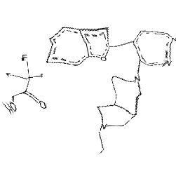 CN1CC2CN(c3nnccc3-c3cc4ccccc4o3)CC2C1.O=C(O)C(F)(F)F